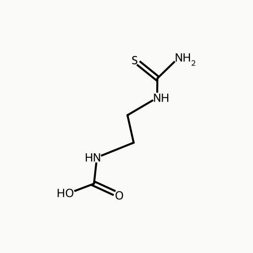 NC(=S)NCCNC(=O)O